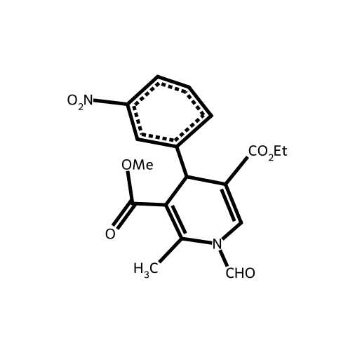 CCOC(=O)C1=CN(C=O)C(C)=C(C(=O)OC)C1c1cccc([N+](=O)[O-])c1